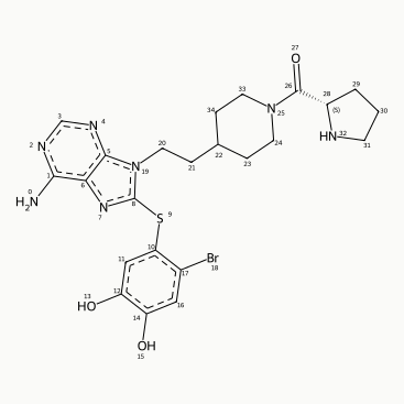 Nc1ncnc2c1nc(Sc1cc(O)c(O)cc1Br)n2CCC1CCN(C(=O)[C@@H]2CCCN2)CC1